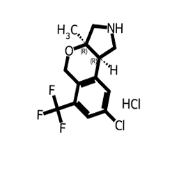 C[C@]12CNC[C@H]1c1cc(Cl)cc(C(F)(F)F)c1CO2.Cl